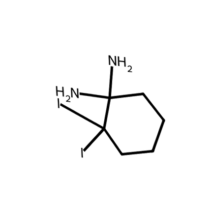 NC1(N)CCCCC1(I)I